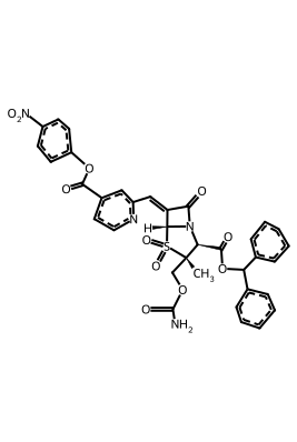 C[C@]1(COC(N)=O)[C@H](C(=O)OC(c2ccccc2)c2ccccc2)N2C(=O)/C(=C/c3cc(C(=O)Oc4ccc([N+](=O)[O-])cc4)ccn3)[C@H]2S1(=O)=O